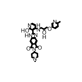 Cc1ccc(OC[C@H](O)CNc2ccnc(O)c2-c2nc3cc4c(cc3[nH]2)C(=O)N(C2CCN(C)CC2)C4=O)cn1